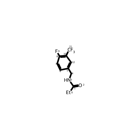 CCC(=O)NCc1ccc(F)c(C(F)(F)F)c1